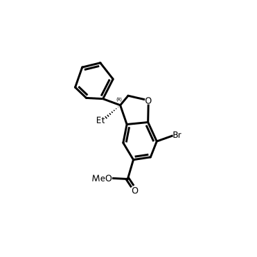 CC[C@]1(c2ccccc2)COc2c(Br)cc(C(=O)OC)cc21